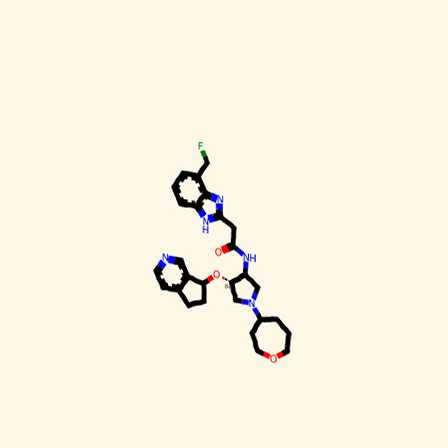 O=C(Cc1nc2c(CF)cccc2[nH]1)NC1CN(C2CCCOCC2)C[C@@H]1OC1CCc2ccncc21